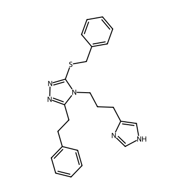 c1ccc(CCc2nnc(SCc3ccccc3)n2CCCc2c[nH]cn2)cc1